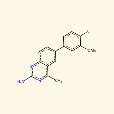 COc1cc(-c2ccc3nc(N)nc(C)c3c2)ccc1Cl